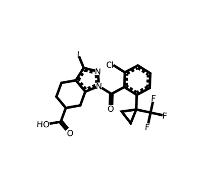 O=C(O)C1CCc2c(I)nn(C(=O)c3c(Cl)cccc3C3(C(F)(F)F)CC3)c2C1